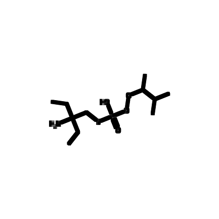 CCC(N)(CC)CSP(=O)(O)OOC(C)C(C)C